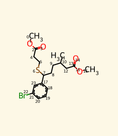 COC(=O)CCSC(CCC(C)CC(=O)OC)c1cccc(Br)c1